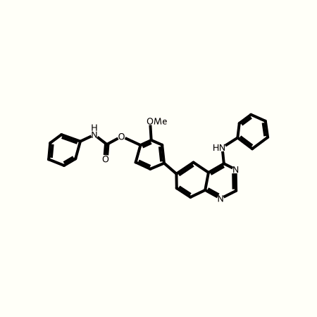 COc1cc(-c2ccc3ncnc(Nc4ccccc4)c3c2)ccc1OC(=O)Nc1ccccc1